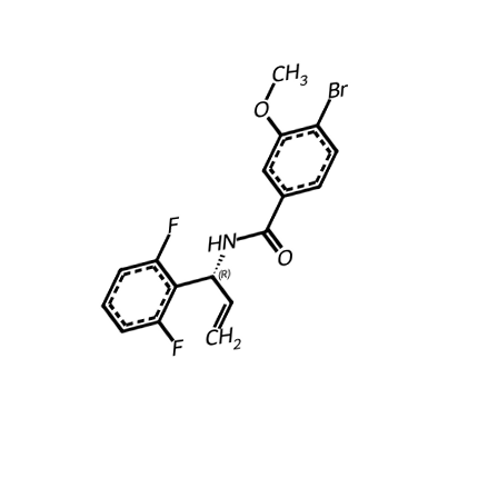 C=C[C@@H](NC(=O)c1ccc(Br)c(OC)c1)c1c(F)cccc1F